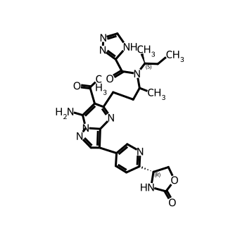 CC[C@H](C)N(C(=O)c1nnc[nH]1)C(C)CCc1nc2c(-c3ccc([C@@H]4COC(=O)N4)nc3)cnn2c(N)c1C(C)=O